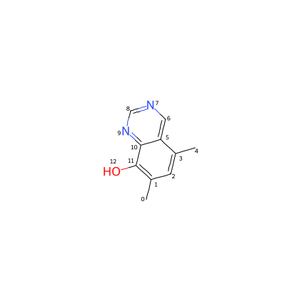 Cc1cc(C)c2cncnc2c1O